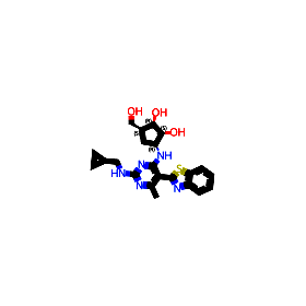 Cc1nc(NCC2CC2)nc(N[C@@H]2C[C@@H](CO)[C@@H](O)[C@H]2O)c1-c1nc2ccccc2s1